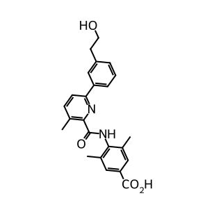 Cc1ccc(-c2cccc(CCO)c2)nc1C(=O)Nc1c(C)cc(C(=O)O)cc1C